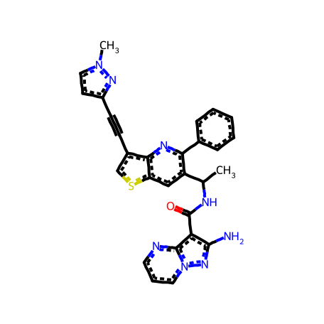 CC(NC(=O)c1c(N)nn2cccnc12)c1cc2scc(C#Cc3ccn(C)n3)c2nc1-c1ccccc1